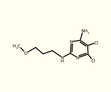 COCCCNc1nc(N)c(Cl)c(Cl)n1